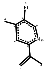 C=C(C)c1cc(C)c(CC)cn1